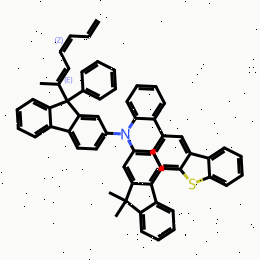 C=C/C=C\C=C(/C)C1(c2ccccc2)c2ccccc2-c2ccc(N(c3ccc4c(c3)C(C)(C)c3ccccc3-4)c3ccccc3-c3ccc4sc5ccccc5c4c3)cc21